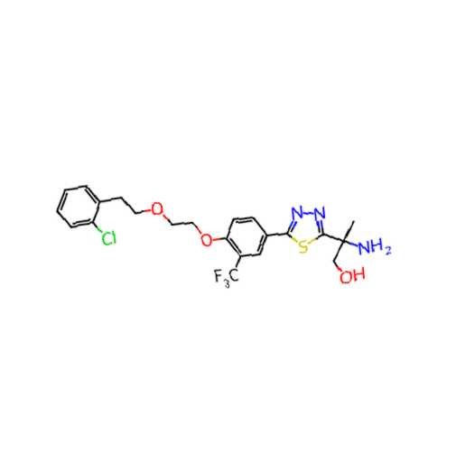 CC(N)(CO)c1nnc(-c2ccc(OCCOCCc3ccccc3Cl)c(C(F)(F)F)c2)s1